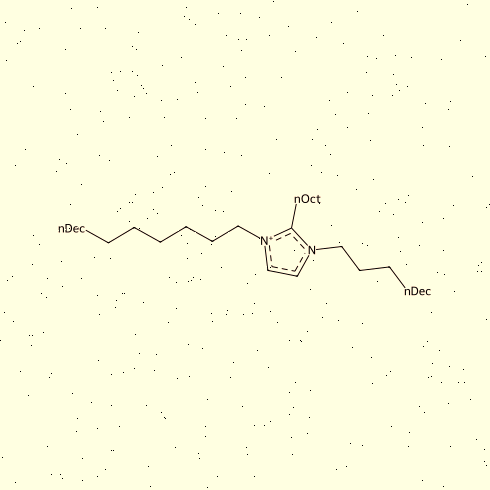 CCCCCCCCCCCCCCCC[n+]1ccn(CCCCCCCCCCCCC)c1CCCCCCCC